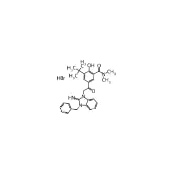 Br.CN(C)C(=O)c1cc(C(=O)Cn2c(=N)n(Cc3ccccc3)c3ccccc32)cc(C(C)(C)C)c1O